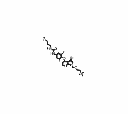 COCCCNC(=O)Nc1cc(F)c(Oc2ccnc3c2c(Br)cn3COCC[Si](C)(C)C)c(F)c1